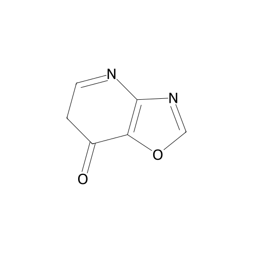 O=C1CC=Nc2ncoc21